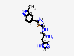 Cc1n[nH]c2ccc(-c3nnc(NCC(N)Cc4cnc[nH]4)s3)cc12